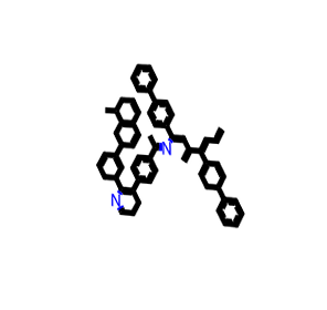 C=C/C=C(/C(=C)/C=C(\N=C(/C)c1ccc(C2=C(C3C=C(C4C=CC5=C(C4)C(C)CC=C5)C=CC3)N=CCC2)cc1)c1ccc(-c2ccccc2)cc1)C1=CCC(c2ccccc2)C=C1